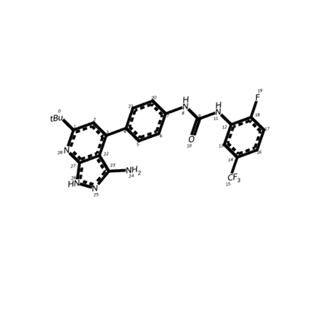 CC(C)(C)c1cc(-c2ccc(NC(=O)Nc3cc(C(F)(F)F)ccc3F)cc2)c2c(N)n[nH]c2n1